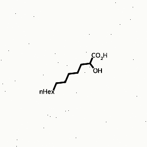 CCCCCCCCCCCC(O)C(=O)O